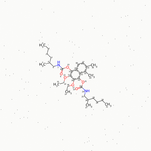 CCCCC(C)CNC(=O)Oc1c(OCC)c(OCC)c(OC(=O)NCC(C)CCCC)c2c(C)c(C)ccc12